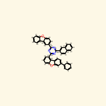 c1ccc(-c2ccc3c(c2)oc2cccc(-c4nc(-c5ccc6ccccc6c5)nc(-c5ccc6oc7ccccc7c6c5)n4)c23)cc1